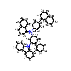 c1ccc(-c2cccc3c4ccccc4n(-c4cccc(N(c5ccc(-c6cccc7ccccc67)cc5)c5cccc6ccccc56)c4)c23)cc1